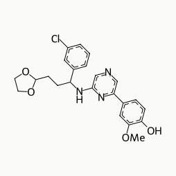 COc1cc(-c2cncc(NC(CCC3OCCO3)c3cccc(Cl)c3)n2)ccc1O